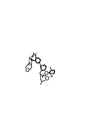 Cc1ccsc1OC(=O)N(Cc1cccc(-c2ccc3ncnc(N4CCOCC4)c3c2)c1)CC(C)C